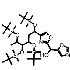 CC(O[Si](C)(C)C(C)(C)C)C(O[Si](C)(C)C(C)(C)C)C(CC(O[Si](C)(C)C(C)(C)C)c1coc(C(O)c2cnco2)n1)O[Si](C)(C)C(C)(C)C